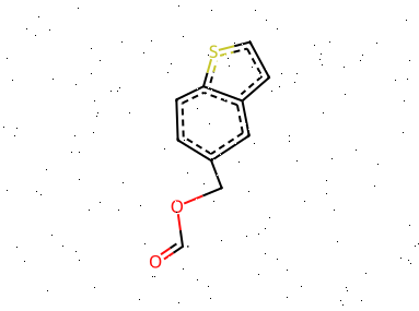 O=[C]OCc1ccc2sccc2c1